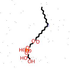 CCCCCCCC/C=C\CCCCCCCC(=O)OCCCOP(=O)(O)OCC(O)CO